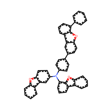 c1ccc(-c2cccc3c2oc2ccc(-c4ccc(N(c5ccc6oc7ccccc7c6c5)c5cccc6c5oc5ccccc56)cc4)cc23)cc1